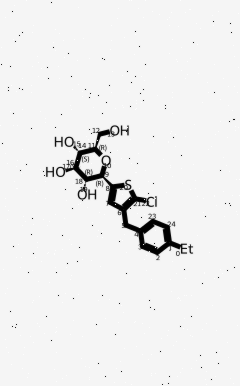 CCc1ccc(Cc2cc([C@@H]3O[C@H](CO)[C@@H](O)[C@H](O)[C@H]3O)sc2Cl)cc1